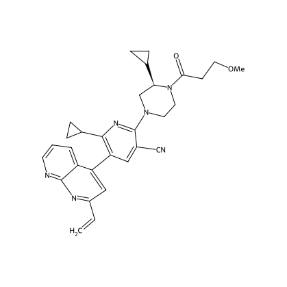 C=Cc1cc(-c2cc(C#N)c(N3CCN(C(=O)CCOC)[C@H](C4CC4)C3)nc2C2CC2)c2cccnc2n1